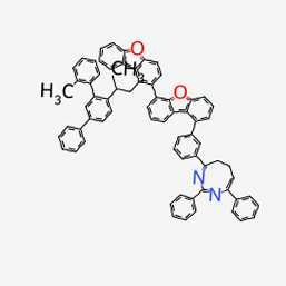 CCC(Cc1c(-c2cccc3c2oc2cccc(-c4cccc(/C5=N/C(c6ccccc6)=N\C(c6ccccc6)=C/CC5)c4)c23)ccc2oc3ccccc3c12)c1ccc(-c2ccccc2)cc1-c1ccccc1C